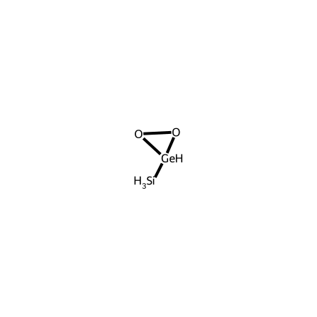 [SiH3][GeH]1[O][O]1